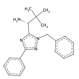 CC(C)(C)[C@@H](N)c1nc(-c2ccccc2)nn1Cc1ccccc1